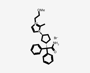 COCC[n+]1ccn([C@H]2CC[C@H](C(C(N)=O)(c3ccccc3)c3ccccc3)C2)c1C.[Br-]